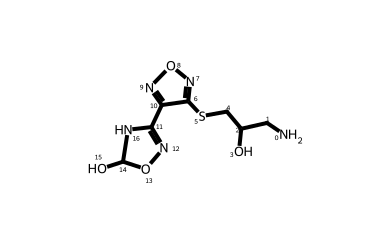 NCC(O)CSc1nonc1C1=NOC(O)N1